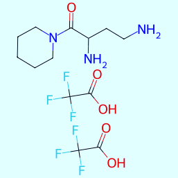 NCCC(N)C(=O)N1CCCCC1.O=C(O)C(F)(F)F.O=C(O)C(F)(F)F